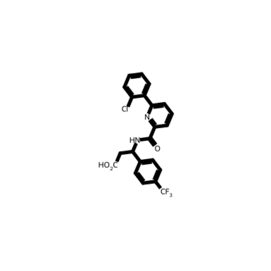 O=C(O)CC(NC(=O)c1cccc(-c2ccccc2Cl)n1)c1ccc(C(F)(F)F)cc1